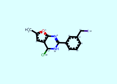 Cc1cc2c(o1)N=C(c1cccc(CI)c1)NC2Cl